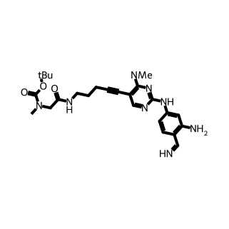 CNc1nc(Nc2ccc(C=N)c(N)c2)ncc1C#CCCCNC(=O)CN(C)C(=O)OC(C)(C)C